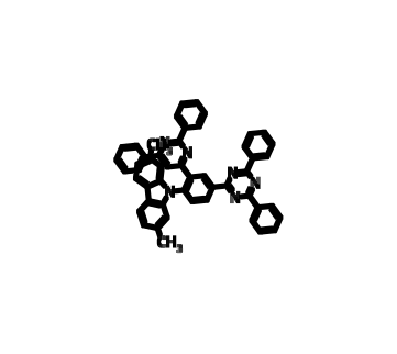 Cc1ccc2c3ccc(C)cc3n(-c3ccc(-c4nc(-c5ccccc5)nc(-c5ccccc5)n4)cc3-c3cc(-c4ccccc4)nc(-c4ccccc4)n3)c2c1